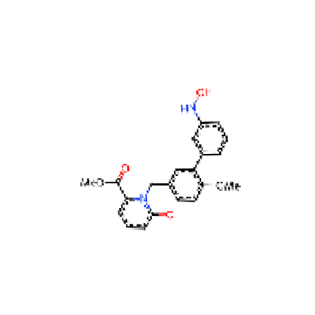 COC(=O)c1cccc(=O)n1Cc1ccc(OC)c(-c2cccc(NO)c2)c1